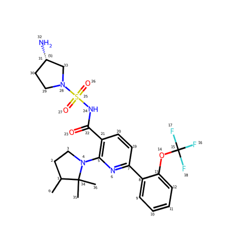 CC1CCN(c2nc(-c3ccccc3OC(F)(F)F)ccc2C(=O)NS(=O)(=O)N2CC[C@H](N)C2)C1(C)C